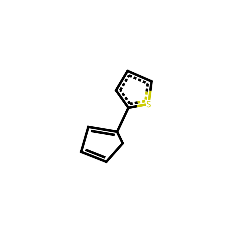 C1=CCC(c2cccs2)=C1